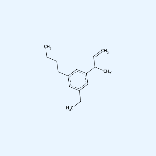 [CH2]C(C=C)c1cc(CC)cc(CCCC)c1